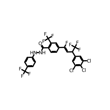 O=C(NNc1ccc(C(F)(F)F)cc1)c1ccc(C(F)=CC(c2cc(Cl)c(Cl)c(Cl)c2)C(F)(F)F)cc1C(F)(F)F